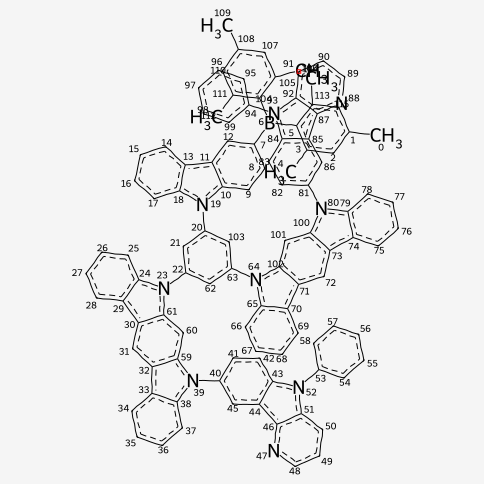 Cc1cc(C)c(B(c2ccc3c(c2)c2ccccc2n3-c2cc(-n3c4ccccc4c4cc5c6ccccc6n(-c6ccc7c(c6)c6ncccc6n7-c6ccccc6)c5cc43)cc(-n3c4ccccc4c4cc5c6ccccc6n(-c6ccc7c(c6)c6ncccc6n7-c6ccccc6)c5cc43)c2)c2c(C)cc(C)cc2C)c(C)c1